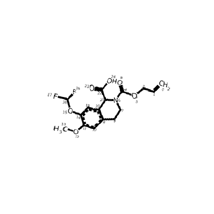 C=CCOC(=O)N1CCc2cc(OC)c(OC(F)F)cc2C1C(=O)O